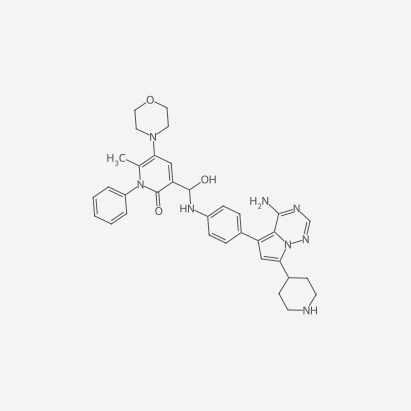 Cc1c(N2CCOCC2)cc(C(O)Nc2ccc(-c3cc(C4CCNCC4)n4ncnc(N)c34)cc2)c(=O)n1-c1ccccc1